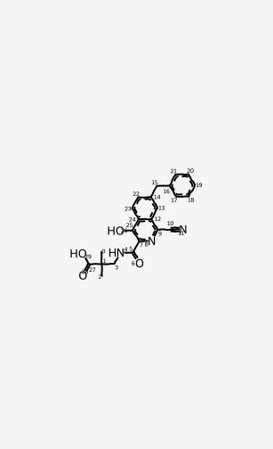 CC(C)(CNC(=O)c1nc(C#N)c2cc(Cc3ccccc3)ccc2c1O)C(=O)O